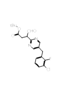 CC(C)(C)OC(=O)CC(C=O)c1ncc(Cc2cccc(Cl)c2F)cn1